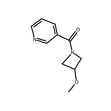 COC1CN(C(=O)c2cc[c]nc2)C1